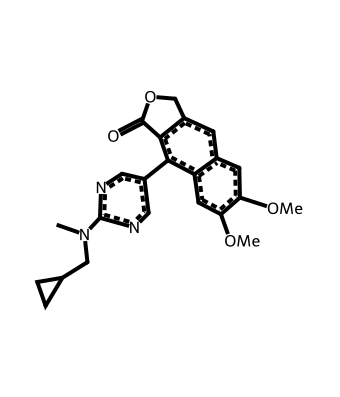 COc1cc2cc3c(c(-c4cnc(N(C)CC5CC5)nc4)c2cc1OC)C(=O)OC3